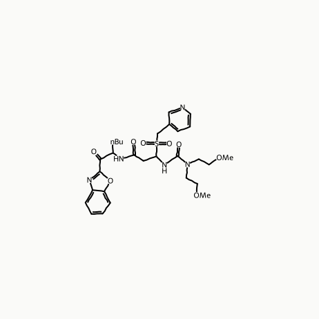 CCCCC(NC(=O)CC(NC(=O)N(CCOC)CCOC)S(=O)(=O)Cc1cccnc1)C(=O)c1nc2ccccc2o1